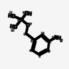 Nc1cccc(CO[Si](O)(O)O)c1